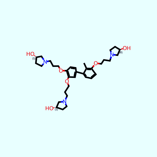 Cc1c(OCCCN2CC[C@@H](O)C2)cccc1-c1ccc(OCCCN2CC[C@H](O)C2)c(OCCCN2CC[C@H](O)C2)c1